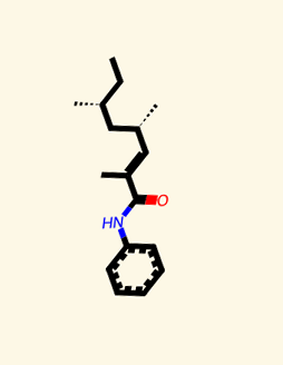 CC[C@@H](C)C[C@H](C)/C=C(\C)C(=O)Nc1ccccc1